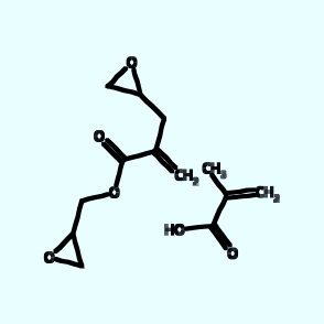 C=C(C)C(=O)O.C=C(CC1CO1)C(=O)OCC1CO1